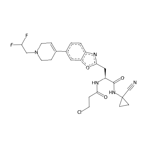 N#CC1(NC(=O)[C@H](Cc2nc3ccc(C4=CCN(CC(F)F)CC4)cc3o2)NC(=O)CCCl)CC1